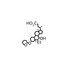 CC[C@H]1[C@@H](O)C2C(CC[C@@]3(C)C2CCC3[C@H](C)CCC(=O)O)C2CC[C@@H](OC3CCCCO3)C[C@]21C